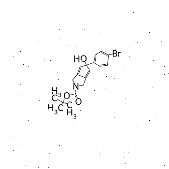 CC(C)(C)OC(=O)N1CC2=CC(O)(c3ccc(Br)cc3)C=C2C1